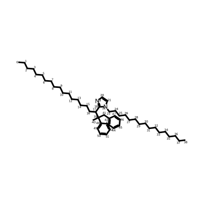 CCCCCCCCCCCCCCCCCC(c1nccn1CCCCCCCCCCCCCCCC)C(C)(Cc1ccccc1)c1ccccc1